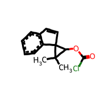 CC1(C)C(OC(=O)Cl)C12C=Cc1ccccc12